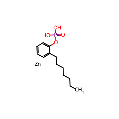 CCCCCCCc1ccccc1OP(=O)(O)O.[Zn]